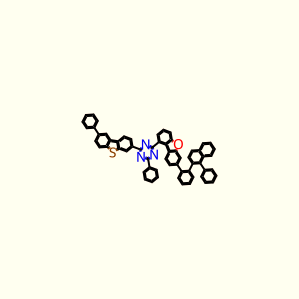 c1ccc(-c2ccc3sc4cc(-c5nc(-c6ccccc6)nc(-c6cccc7oc8cc(-c9ccccc9-c9ccc%10ccccc%10c9-c9ccccc9)ccc8c67)n5)ccc4c3c2)cc1